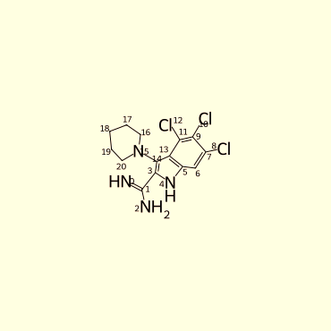 N=C(N)c1[nH]c2cc(Cl)c(Cl)c(Cl)c2c1N1CCCCC1